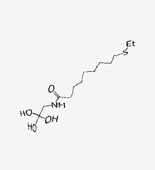 CCSCCCCCCCCC(=O)NCC(O)(O)O